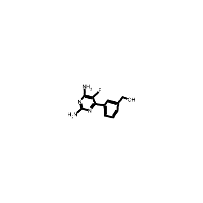 Nc1nc(N)c(F)c(-c2cccc(CO)c2)n1